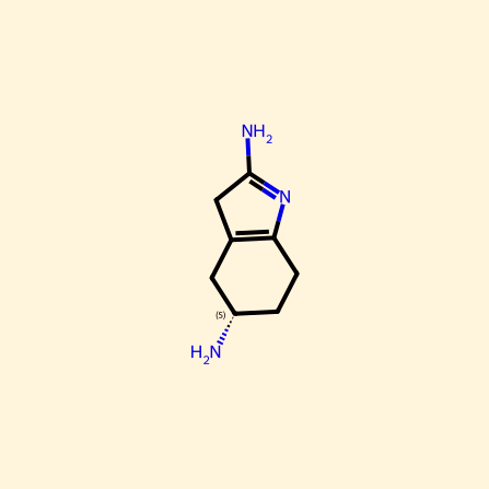 NC1=NC2=C(C1)C[C@@H](N)CC2